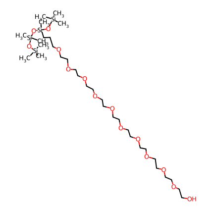 C[Si](C)(C)O[Si](C)(C)O[Si](C)(CCCOCCOCCOCCOCCOCCOCCOCCOCCOCCOCCO)O[Si](C)(C)C